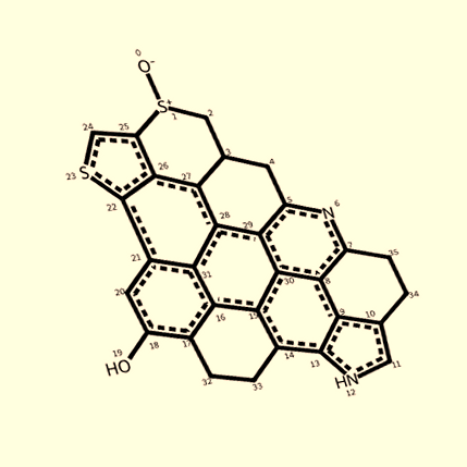 [O-][S+]1CC2Cc3nc4c5c6c(c[nH]c6c6c7c8c(c(O)cc9c%10scc1c%10c2c(c3c57)c98)CC6)CC4